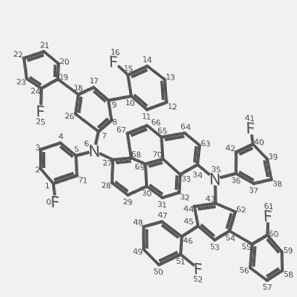 Fc1cccc(N(c2cc(-c3ccccc3F)cc(-c3ccccc3F)c2)c2ccc3ccc4c(N(c5cccc(F)c5)c5cc(-c6ccccc6F)cc(-c6ccccc6F)c5)ccc5ccc2c3c54)c1